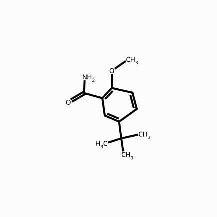 COc1ccc(C(C)(C)C)cc1C(N)=O